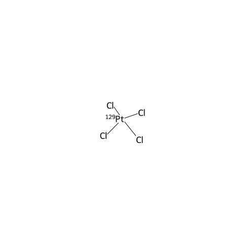 [Cl][129Pt]([Cl])([Cl])[Cl]